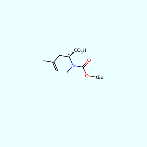 C=C(C)C[C@@H](C(=O)O)N(C)C(=O)OC(C)(C)C